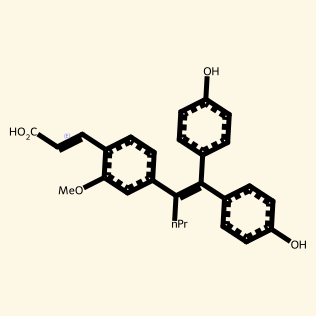 CCCC(=C(c1ccc(O)cc1)c1ccc(O)cc1)c1ccc(/C=C/C(=O)O)c(OC)c1